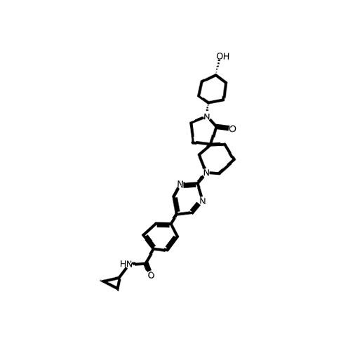 O=C(NC1CC1)c1ccc(-c2cnc(N3CCCC4(CCN([C@H]5CC[C@@H](O)CC5)C4=O)C3)nc2)cc1